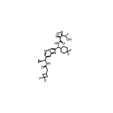 C[C@@H](O)c1nonc1C(=O)N[C@H](c1cn2ncc(C(NC(=O)CC3CC(F)(F)C3)C3CC3)cc2n1)C1CCC(F)(F)CC1